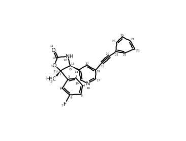 C[C@@]1(c2cccc(F)c2)OC(=O)N[C@H]1c1cncc(C#Cc2ccccc2)c1